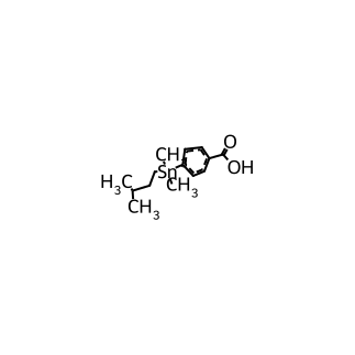 CC(C)C[CH2][Sn]([CH3])([CH3])[c]1ccc(C(=O)O)cc1